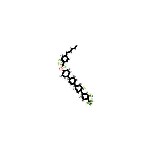 CCCCCc1ccc(C(F)(F)OC2CCC(c3ccc(-c4ccc(-c5ccc(C(F)(F)F)c(F)c5)c(F)c4)cc3)CC2)c(F)c1